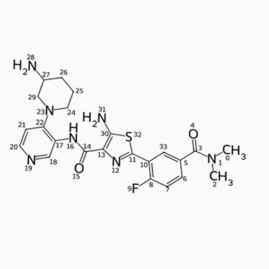 CN(C)C(=O)c1ccc(F)c(-c2nc(C(=O)Nc3cnccc3N3CCCC(N)C3)c(N)s2)c1